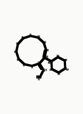 ON=C1CCCCCCCCCC=C1N1CCOCC1